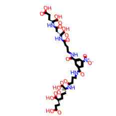 O=C(O)CC[C@H](CC(=O)C[C@@H](NC(=O)CCCNC(=O)c1cc(C(=O)NCCCC(=O)N[C@H](CC(=O)N[C@@H](CCC(=O)O)C(=O)O)C(=O)O)cc([N+](=O)[O-])c1)C(=O)O)C(=O)O